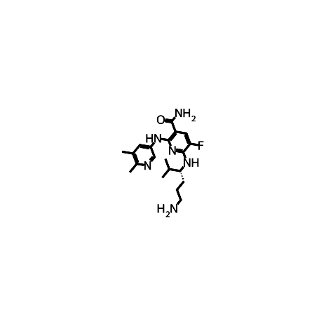 Cc1cc(Nc2nc(N[C@H](CCCN)C(C)C)c(F)cc2C(N)=O)cnc1C